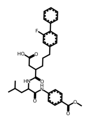 COC(=O)c1ccc(NC(=O)C(CC(C)C)NC(=O)C(CCCc2ccc(-c3ccccc3)c(F)c2)CC(=O)O)cc1